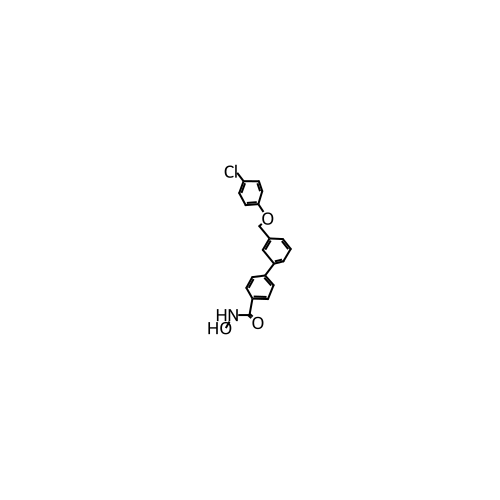 O=C(NO)c1ccc(-c2cccc(COc3ccc(Cl)cc3)c2)cc1